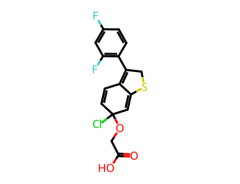 O=C(O)COC1(Cl)C=CC2=C(c3ccc(F)cc3F)CSC2=C1